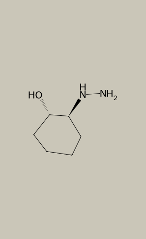 NN[C@H]1CCCC[C@@H]1O